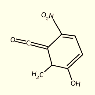 CC1C(=C=O)C([N+](=O)[O-])=CC=C1O